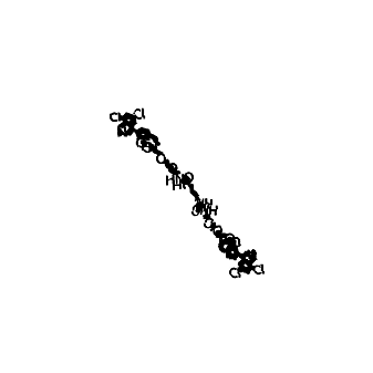 CN1Cc2c(Cl)cc(Cl)cc2C(c2ccc3c(c2)S(=O)(=O)N(CCOCCOCCNC(=O)NCCCCNC(=O)NCCOCCOCCN2CCc4ccc(C5CN(C)Cc6c(Cl)cc(Cl)cc65)cc4S2(=O)=O)CC3)C1